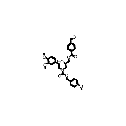 COc1ccc(COC(=O)N(CCc2ccc(OC)c(OC)c2)CC(O)COC(=O)c2ccc(C=O)cc2)cc1